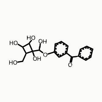 O=C(c1ccccc1)c1cccc(OC(O)C2(O)C(O)C(O)C2CO)c1